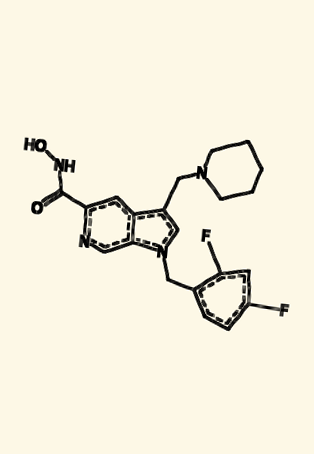 O=C(NO)c1cc2c(CN3CCCCC3)cn(Cc3ccc(F)cc3F)c2cn1